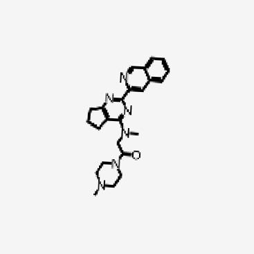 CN1CCN(C(=O)CN(C)c2nc(-c3cc4ccccc4cn3)nc3c2CCC3)CC1